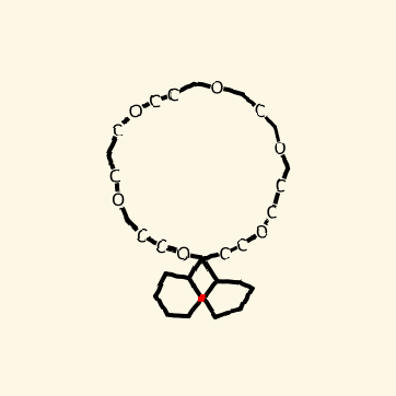 C1CCC(C2(C3CCCCC3)CCOCCCOCCCOCCCOCCCOCCCO2)CC1